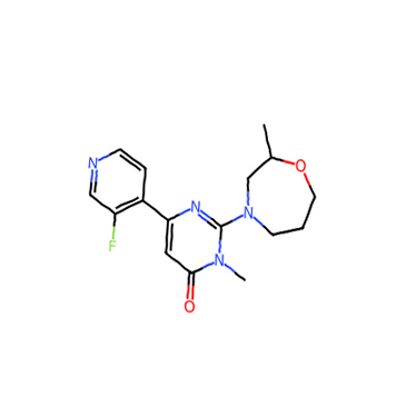 CC1CN(c2nc(-c3ccncc3F)cc(=O)n2C)CCCO1